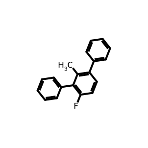 Cc1c(-c2ccccc2)ccc(F)c1-c1ccccc1